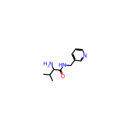 CC(C)C(N)C(=O)NCc1cccnc1